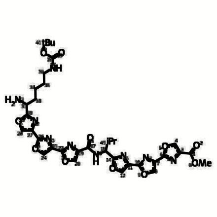 COC(=O)c1coc(-c2coc(-c3coc(C(NC(=O)c4coc(-c5coc(-c6coc(C(N)CCCCNC(=O)OC(C)(C)C)n6)n5)n4)C(C)C)n3)n2)n1